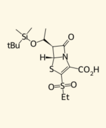 CCS(=O)(=O)C1=C(C(=O)O)N2C(=O)[C@H](C(C)O[Si](C)(C)C(C)(C)C)[C@H]2S1